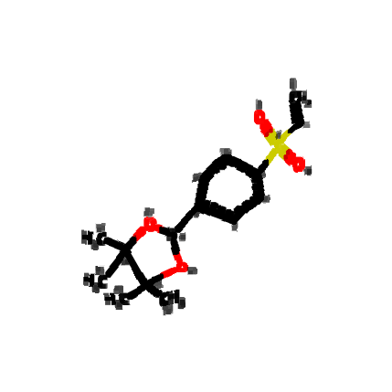 C=CS(=O)(=O)c1ccc(B2OC(C)(C)C(C)(C)O2)cc1